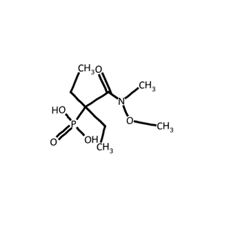 CCC(CC)(C(=O)N(C)OC)P(=O)(O)O